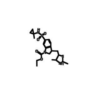 CCOC(=O)N1CC(CC2SC(C)NC2C)c2ccc(S(=O)(=O)NC3(C)CC3)cc21